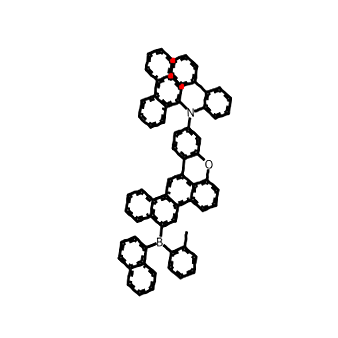 Cc1ccccc1B(c1cccc2ccccc12)c1cc2c3cccc4c3c(cc2c2ccccc12)-c1ccc(N(c2ccccc2-c2ccccc2)c2cc3ccccc3c3ccccc23)cc1O4